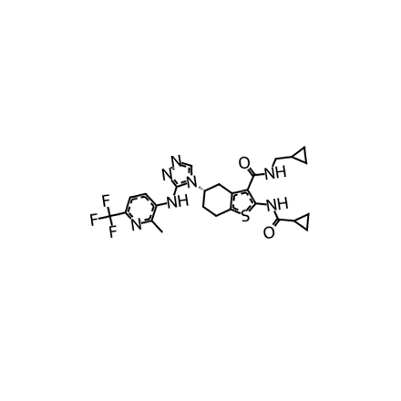 Cc1nc(C(F)(F)F)ccc1Nc1nncn1[C@H]1CCc2sc(NC(=O)C3CC3)c(C(=O)NCC3CC3)c2C1